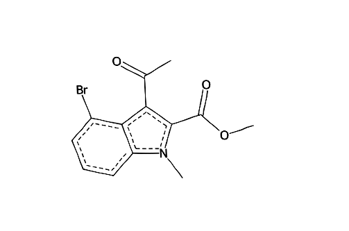 COC(=O)c1c(C(C)=O)c2c(Br)cccc2n1C